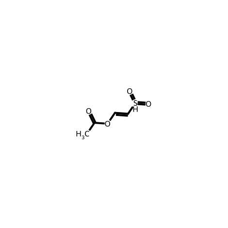 CC(=O)OC=C[SH](=O)=O